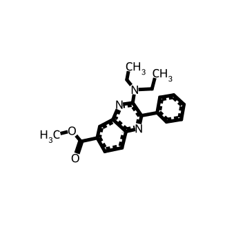 CCN(CC)c1nc2cc(C(=O)OC)ccc2nc1-c1ccccc1